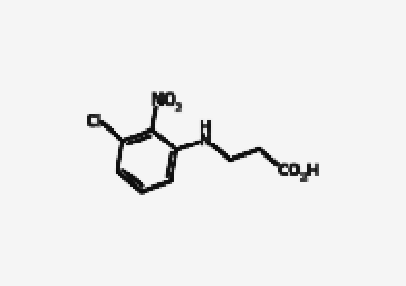 O=C(O)CCNc1cccc(Cl)c1[N+](=O)[O-]